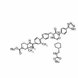 Cc1cc(C(=O)NC2CCN(C(=O)OC(C)(C)C)CC2(C)C)ccc1-c1ccc(C[C@H](NC(=O)[C@H]2CC[C@H](CNC(=O)OC(C)(C)C)CC2)C(=O)Nc2ccc(-c3nnn[nH]3)cc2)cc1